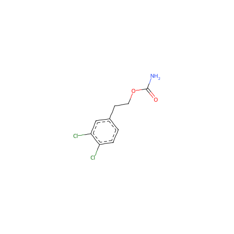 NC(=O)OCCc1ccc(Cl)c(Cl)c1